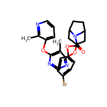 Cc1ncccc1Oc1ncnc(OC2CC3CCC(C2)N3C(=O)Oc2ccc(Br)cc2)c1C